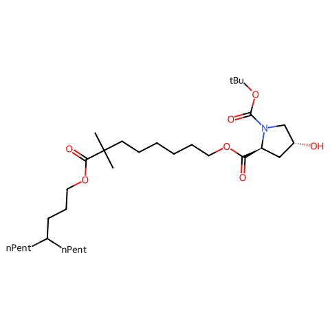 CCCCCC(CCCCC)CCCOC(=O)C(C)(C)CCCCCCOC(=O)[C@@H]1C[C@@H](O)CN1C(=O)OC(C)(C)C